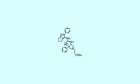 COCCN1CC(NC(=O)Nc2c3c(nn2-c2ccccc2)CCC3)C(O)(c2ccccc2)C1